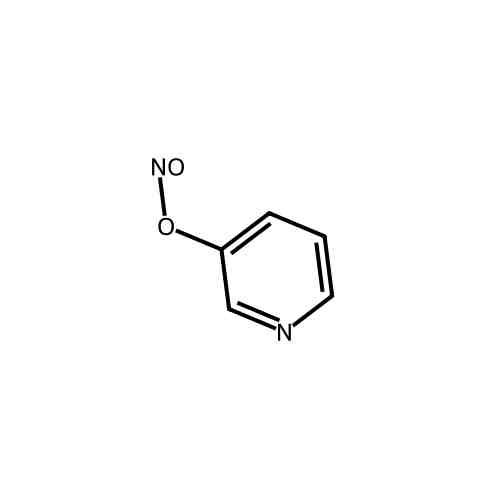 O=NOc1cccnc1